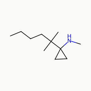 CCCCC(C)(C)C1(NC)CC1